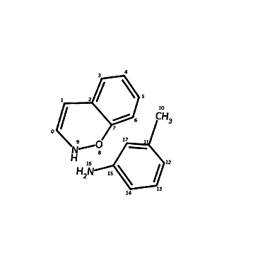 C1=Cc2ccccc2ON1.Cc1cccc(N)c1